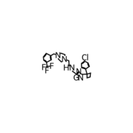 FC(F)(F)c1cccc(CN2CCN(CCNCc3nc(C4(c5ccc(Cl)cc5)CCC4)no3)CC2)c1